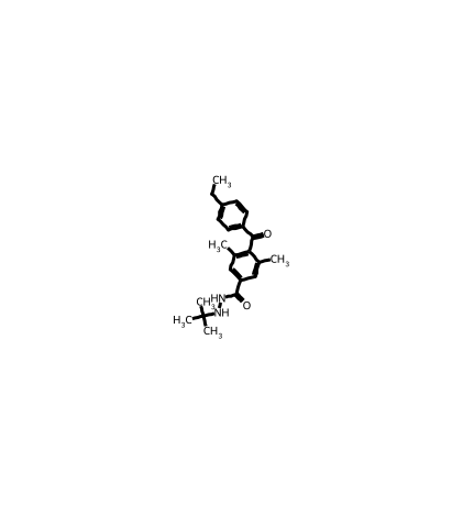 CCc1ccc(C(=O)c2c(C)cc(C(=O)NNC(C)(C)C)cc2C)cc1